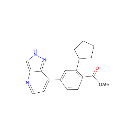 COC(=O)c1ccc(-c2ccnc3c[nH]nc23)cc1C1CCCC1